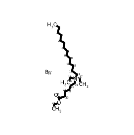 CCCCCCCCCCCCCC[N+](CC)(CC)CCCCCC(=O)OCC.[Br-]